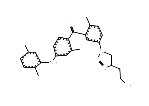 Cc1ccc(N2CC(CCO)N=N2)cc1C(=O)c1ccc(Nc2cc(F)ccc2F)cc1Cl